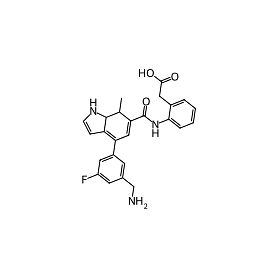 CC1C(C(=O)Nc2ccccc2CC(=O)O)=CC(c2cc(F)cc(CN)c2)=C2C=CNC21